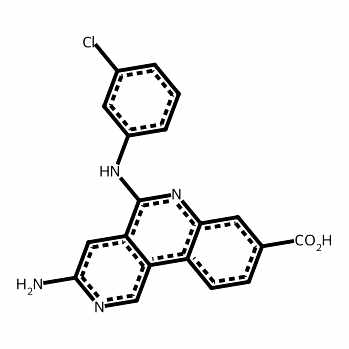 Nc1cc2c(Nc3cccc(Cl)c3)nc3cc(C(=O)O)ccc3c2cn1